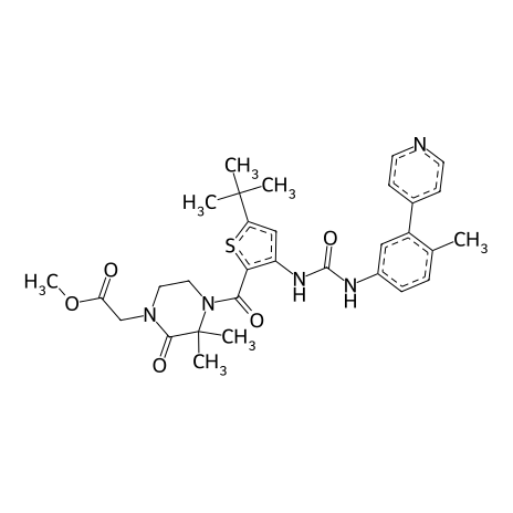 COC(=O)CN1CCN(C(=O)c2sc(C(C)(C)C)cc2NC(=O)Nc2ccc(C)c(-c3ccncc3)c2)C(C)(C)C1=O